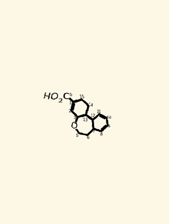 O=C(O)C1=CC2OCCC3C=CC=CC3C2CC1